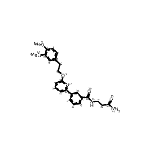 COc1ccc(CCOc2cccc(-c3cccc(C(=O)NCCC(N)=O)c3)n2)cc1OC